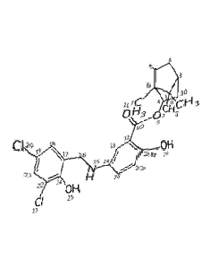 CC1(C)C2CCC1(C)C(OC(=O)c1cc(NCc3cc(Cl)cc(Cl)c3O)ccc1O)C2